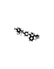 Cn1nccc1-c1nnc(N2CCC(NCc3cnc(F)cc3C(F)(F)F)CC2)c2ccccc12